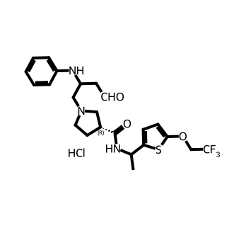 CC(NC(=O)[C@@H]1CCN(CC(CC=O)Nc2ccccc2)C1)c1ccc(OCC(F)(F)F)s1.Cl